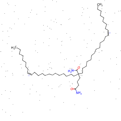 CCCCCCCC/C=C\CCCCCCCCCCCCC(CCCCCCCCCCCC/C=C\CCCCCCCC)(CCCC(N)=O)C(N)=O